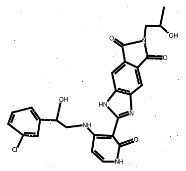 CC(O)CN1C(=O)c2cc3nc(-c4c(NCC(O)c5cccc(Cl)c5)cc[nH]c4=O)[nH]c3cc2C1=O